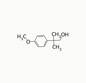 COc1ccc(C(C)(C)CO)cc1